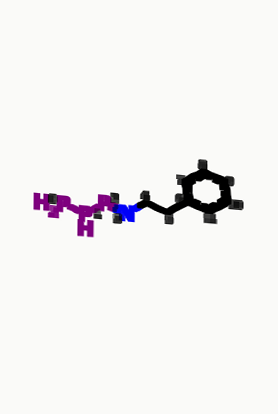 PP/P=N/CCc1ccccc1